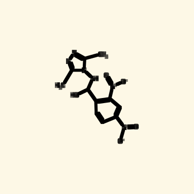 Cc1nnc(C)n1NC(O)c1ccc([N+](=O)[O-])cc1[N+](=O)[O-]